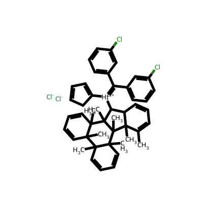 CC1=CC=CC2[CH]([Hf+2]([C]3=CC=CC3)=[C](c3cccc(Cl)c3)c3cccc(Cl)c3)C3(C)C4(C)C=CC=CC4(C)C4(C)C=CC=CC4(C)C3(C)C12C.[Cl-].[Cl-]